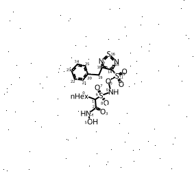 CCCCCCC(C(=O)NO)S(=O)(=O)NOS(=O)(=O)c1nsnc1Cc1ccccc1